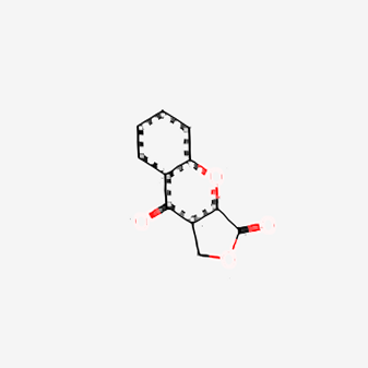 O=C1OCc2c1oc1ccccc1c2=O